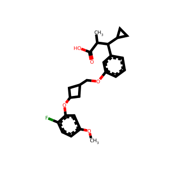 COc1ccc(F)c(OC2CC(COc3cccc(C(C4CC4)C(C)C(=O)O)c3)C2)c1